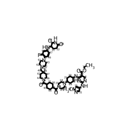 CCOC(=O)c1cnc(Nc2cnn(C)c2)nc1NC1CCC(N2CCN(C(=O)C3CCC(C(=O)N4CCC(F)(CN5CCN(c6ccc(NC7CCC(=O)NC7=O)cc6F)CC5)CC4)CC3)CC2)CC1